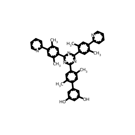 Cc1cc(-c2nc(-c3cc(C)c(-c4ccccn4)cc3C)nc(-c3cc(C)c(-c4ccccn4)cc3C)n2)c(C)cc1-c1cc(O)cc(O)c1